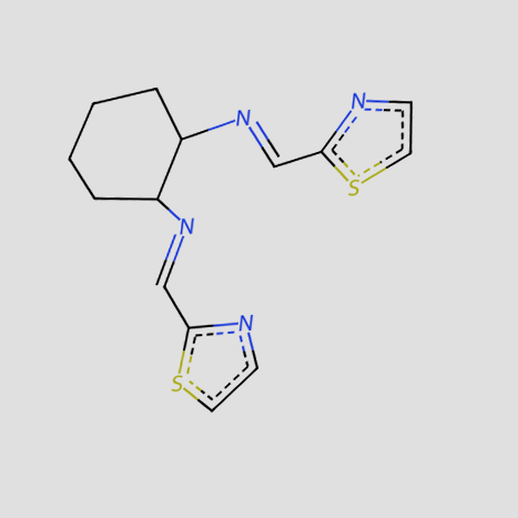 C(=N\C1CCCCC1/N=C/c1nccs1)/c1nccs1